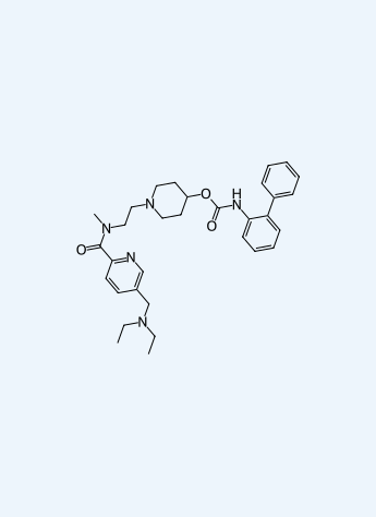 CCN(CC)Cc1ccc(C(=O)N(C)CCN2CCC(OC(=O)Nc3ccccc3-c3ccccc3)CC2)nc1